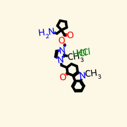 CC1N(COC(=O)C2(CN)CCCC2)C=CN1CC1CCc2c(c3ccccc3n2C)C1=O.Cl.Cl